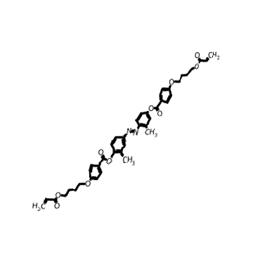 C=CC(=O)OCCCCOc1ccc(C(=O)Oc2ccc(/N=N/c3ccc(OC(=O)c4ccc(OCCCCOC(=O)C=C)cc4)c(C)c3)c(C)c2)cc1